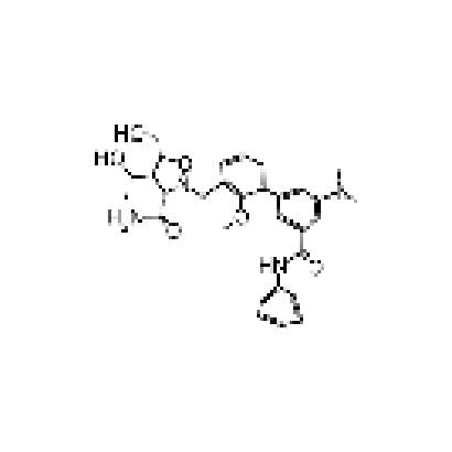 COc1c(CN2O[C@@H](CO)[C@H]([C@H](C)O)[C@H]2C(N)=O)cccc1-c1cc(C(=O)Nc2ccccc2)cc(N(C)C)c1